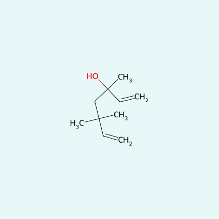 C=CC(C)(C)CC(C)(O)C=C